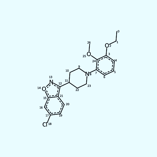 CCOc1[c]ccc(N2CCC(c3noc4cc(Cl)ccc34)CC2)c1OC